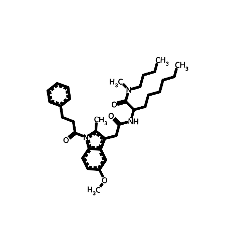 CCCCCCC(NC(=O)Cc1c(C)n(C(=O)CCc2ccccc2)c2ccc(OC)cc12)C(=O)N(C)CCCC